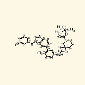 CC(C)(C)OC(=O)N1CCC[C@]2(C1)C[C@H](Nc1cc(-c3ccc4ncn(Cc5cccc(F)c5)c4c3)c(Cl)cn1)C2